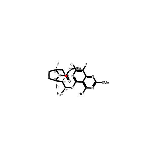 CSc1nc(O)c2c(O[C@@H](C)[C@H]3NC[C@@H]4CC[C@H]3N4C(=O)OC(C)(C)C)nc(Cl)c(F)c2n1